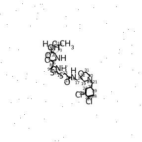 CC(C)C[C@H](NC(=O)C1=CSC(SCC(=O)NC[C@H]2CN(CC3C=C(Cl)C(Cl)=CC3)CCO2)N1)C(=O)O